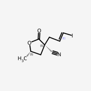 C[C@H]1C[C@](C#N)(C/C=C/I)C(=O)O1